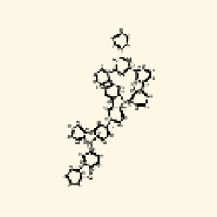 c1ccc(-c2nc(-c3ccccc3)nc(-c3cccc4c3sc3c(-n5c6ccccc6c6cc(-c7ccc8c(c7)c7ccccc7n8-c7ccc8sc9ccccc9c8c7)ccc65)cccc34)n2)cc1